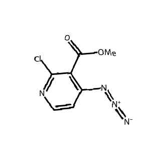 COC(=O)c1c(N=[N+]=[N-])ccnc1Cl